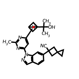 Cc1nc(N2CC3(C(C)(C)O)CC2C3)cc(-n2ncc3ccc(C4(C#N)CC5(CC5)C4)cc32)n1